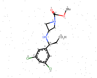 CC(C)(C)OC(=O)N1CC(N[C@@H](CC(=O)O)c2cc(Cl)cc(Cl)c2)C1